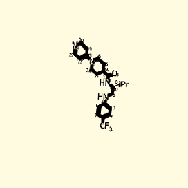 CC(C)[C@H](CNc1ccc(C(F)(F)F)cc1)NC(=O)C1CCN(c2ccncc2)CC1